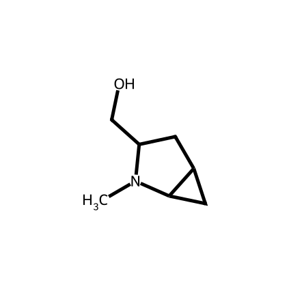 CN1C(CO)CC2CC21